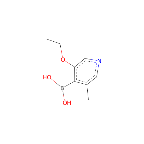 CCOc1cncc(C)c1B(O)O